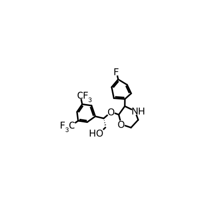 OC[C@@H](OC1OCCNC1c1ccc(F)cc1)c1cc(C(F)(F)F)cc(C(F)(F)F)c1